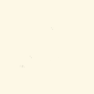 CC(=O)O.CCC(NCCCCc1ccc2c(n1)NCCC2)C(=O)O